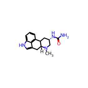 CN1C[C@@H](NC(N)=O)CC2c3cccc4[nH]cc(c34)C[C@H]21